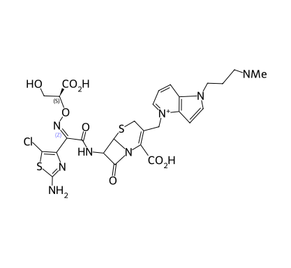 CNCCCn1ccc2c1ccc[n+]2CC1=C(C(=O)O)N2C(=O)C(NC(=O)/C(=N\O[C@@H](CO)C(=O)O)c3nc(N)sc3Cl)C2SC1